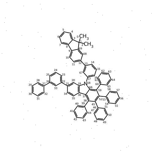 CC1(C)c2ccccc2-c2ccc(-c3cccc(-n4c5cc(-c6cccc(-c7ccccc7)c6)ccc5c5c(-c6ccccc6)c(-c6ccccc6)c(-c6ccccc6)c(-c6ccccc6)c54)c3)cc21